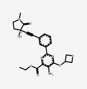 CCOC(=O)c1nc(-c2cccc(C#C[C@]3(O)CCN(C)C3=O)c2)nc(OC2COC2)c1N